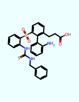 Nc1ccccc1-c1c(CCC(=O)O)cccc1S(=O)(=O)c1ccccc1NC(=S)NCc1ccccc1